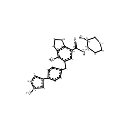 Cc1c(Cc2ccc(-c3cn(C)nn3)cc2)cc(C(=O)N[C@H]2CCOC[C@@H]2O)c2c1CCO2